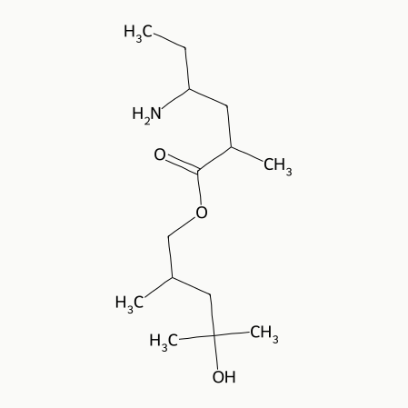 CCC(N)CC(C)C(=O)OCC(C)CC(C)(C)O